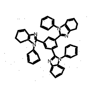 C1=Cc2c(nc(-c3cc(-c4nc5c(n4-c4ccccc4)CCC=C5)cc(-c4nc5ccccc5n4-c4ccccc4)c3)n2-c2ccccc2)CC1